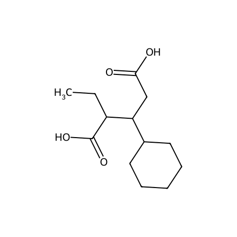 CCC(C(=O)O)C(CC(=O)O)C1CCCCC1